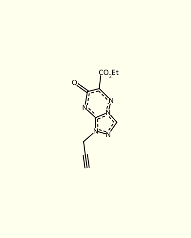 C#CCn1ncn2nc(C(=O)OCC)c(=O)nc12